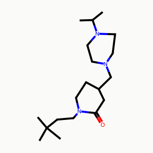 CC(C)N1CCN(CC2CCN(CCC(C)(C)C)C(=O)C2)CC1